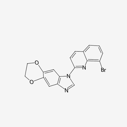 Brc1cccc2ccc(-n3cnc4cc5c(cc43)OCCO5)nc12